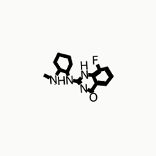 CN(C)C1CCCCC1Nc1nc(=O)c2cccc(F)c2[nH]1